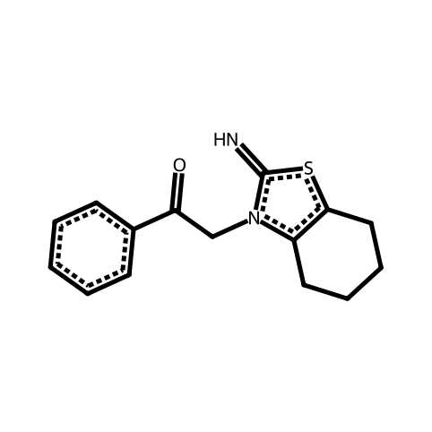 N=c1sc2c(n1CC(=O)c1ccccc1)CCCC2